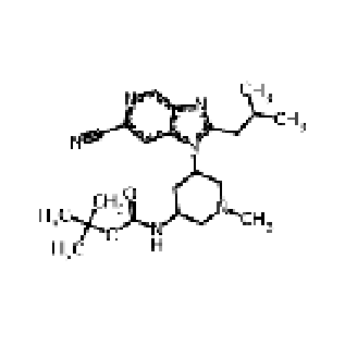 CC(C)Cc1nc2cnc(C#N)cc2n1C1CC(NC(=O)OC(C)(C)C)CN(C)C1